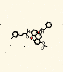 CC(=O)Oc1ccc2c3c1C[C@@H]1[C@@H]4CC[C@@H](N(C)C(=O)C=Cc5cccc(C)c5)[C@H](O2)[C@]34CCN1CCc1ccccc1